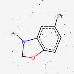 CC(C)c1ccc2c(c1)N(C(C)C)CO2